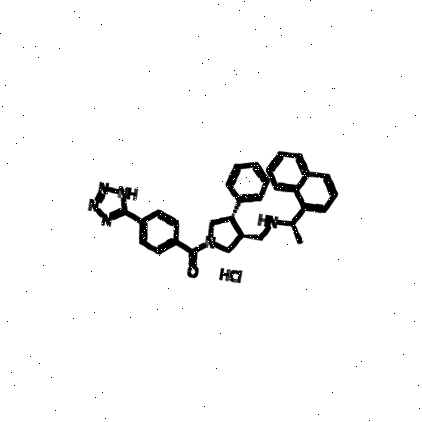 C[C@@H](NC[C@H]1CN(C(=O)c2ccc(-c3nnn[nH]3)cc2)C[C@@H]1c1ccccc1)c1cccc2ccccc12.Cl